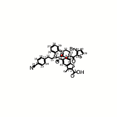 Cc1c(C(=O)O)sc2ccc(S(=O)(=O)N(CCc3ccc(C#N)cc3)c3ccccc3N3CCN(C(=O)c4sccc4Br)CC3)cc12